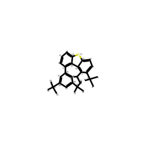 CC(C)c1c(C(C)(C)C)ccc2sc3cccc(-c4cc(C(C)(C)C)cc(C(C)(C)C)c4)c3c12